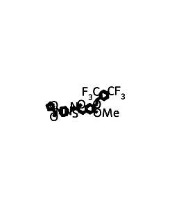 COc1cc(C=C2SC(N3CCN(C(=O)c4ccco4)CC3)=NC2=O)ccc1OCc1ccc(C(F)(F)F)cc1C(F)(F)F